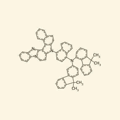 CC1(C)c2ccccc2-c2cc(N(c3cccc4c3-c3ccccc3C4(C)C)c3ccc(-n4c5ccc6ccccc6c5c5c4ccn4c6ccccc6nc54)c4ccccc34)ccc21